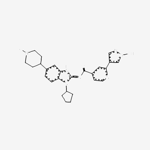 CN1CCC(c2ccc3c(c2)[nH]/c(=N\C(=O)c2ccnc(-c4cnn(C)c4)c2)n3C2CCCC2)CC1